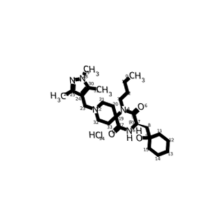 CCCCN1C(=O)[C@@H](CC2(O)CCCCC2)NC(=O)C12CCN(Cc1c(C)nn(C)c1C)CC2.Cl